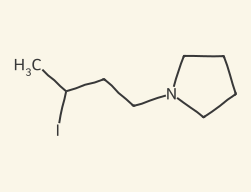 CC(I)CCN1CCCC1